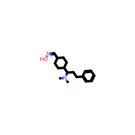 CN(C)C(CCc1ccccc1)C1CCC(/C=N\O)CC1